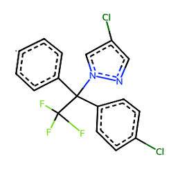 FC(F)(F)C(c1cc[c]cc1)(c1ccc(Cl)cc1)n1cc(Cl)cn1